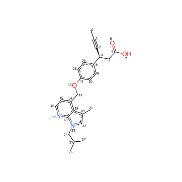 CC#C[C@@H](CC(=O)O)c1ccc(OCc2ccnc3c2c(C)cn3CC(C)C)cc1